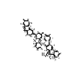 CC1(C)c2ccccc2-c2cc3c4ccccc4n(-c4cccc5sc6c(-c7ccc8sc9ccccc9c8c7)cccc6c45)c3cc21